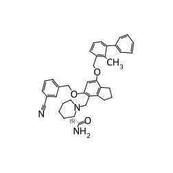 Cc1c(COc2cc(OCc3cccc(C#N)c3)c(CN3CCCC[C@H]3C(N)=O)c3c2CCC3)cccc1-c1ccccc1